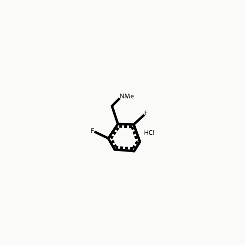 CNCc1c(F)cccc1F.Cl